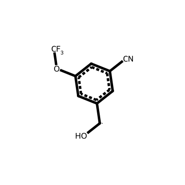 N#Cc1cc([CH]O)cc(OC(F)(F)F)c1